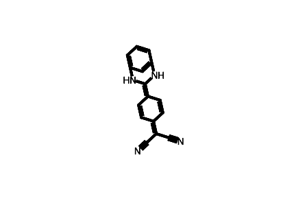 N#CC(C#N)=c1ccc(=C2Nc3cccc(c3)N2)cc1